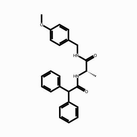 COc1ccc(CNC(=O)[C@H](C)NC(=O)C(c2ccccc2)c2ccccc2)cc1